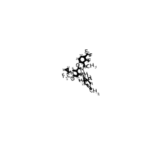 C[C@@H](NC(=O)c1cn(C2(C(F)(F)F)CC2)c(=O)cc1NC1[C@H]2CN(C)C[C@@H]12)c1cccc(C(F)F)c1F